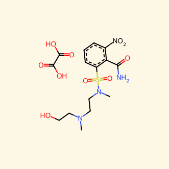 CN(CCO)CCN(C)S(=O)(=O)c1cccc([N+](=O)[O-])c1C(N)=O.O=C(O)C(=O)O